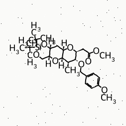 COC(=O)C[C@@H]1O[C@H]2C[C@H]3O[Si](C(C)(C)C)(C(C)(C)C)OC[C@H]3O[C@H]2[C@H](C)[C@H]1OCc1ccc(OC)cc1